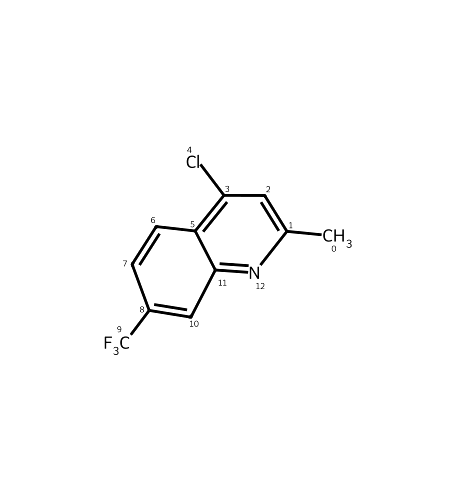 Cc1cc(Cl)c2ccc(C(F)(F)F)cc2n1